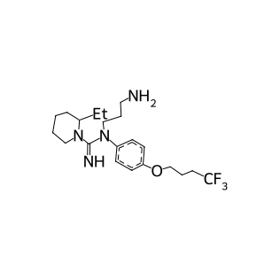 CCC1CCCCN1C(=N)N(CCCN)c1ccc(OCCCC(F)(F)F)cc1